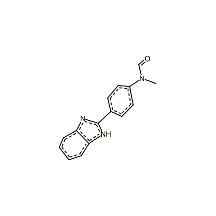 CN(C=O)c1ccc(-c2nc3ccccc3[nH]2)cc1